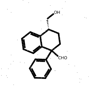 O=CC1(c2ccccc2)CC[C@@H](CO)c2ccccc21